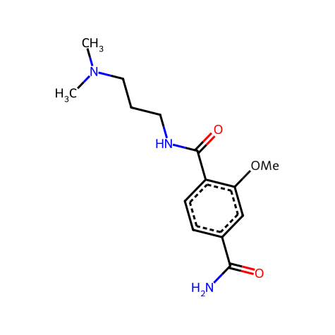 COc1cc(C(N)=O)ccc1C(=O)NCCCN(C)C